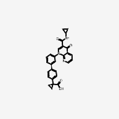 O=C(NC1CC1)c1cn(-c2cccc(-c3ccc(C4(C(=O)O)CC4)cc3)c2)c2ncccc2c1=O